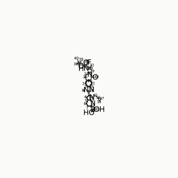 Cn1c(-c2cc3ccc(B(O)O)nc3n2CC2CC2)nc2cc3c(cc21)CCN(C[C@@H](CF)NC(=O)OC(C)(C)C)C3=O